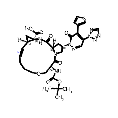 CC(C)(C)OC(=O)N[C@H]1CCCCC/C=C\[C@@H]2C[C@@]2(C(=O)O)NC(=O)[C@@H]2C[C@@H](n3ncc(-n4ncnn4)c(-c4ccsc4)c3=O)CN2C1=O